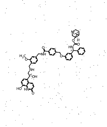 COc1cc(CNC(=O)c2ccc(COc3cccc([C@@H](NC(=O)O[C@H]4CN5CCC4CC5)c4ccccc4)c3)cc2)ccc1CNC[C@H](O)c1ccc(O)c2[nH]c(=O)ccc12